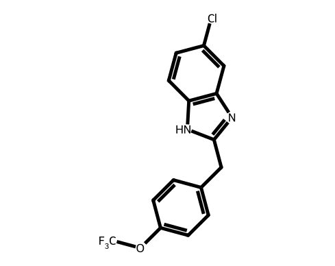 FC(F)(F)Oc1ccc(Cc2nc3cc(Cl)ccc3[nH]2)cc1